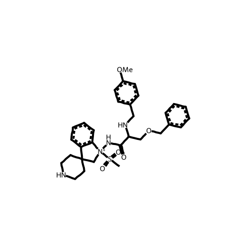 COc1ccc(CNC(COCc2ccccc2)C(=O)N[N+]2(S(C)(=O)=O)CC3(CCNCC3)c3ccccc32)cc1